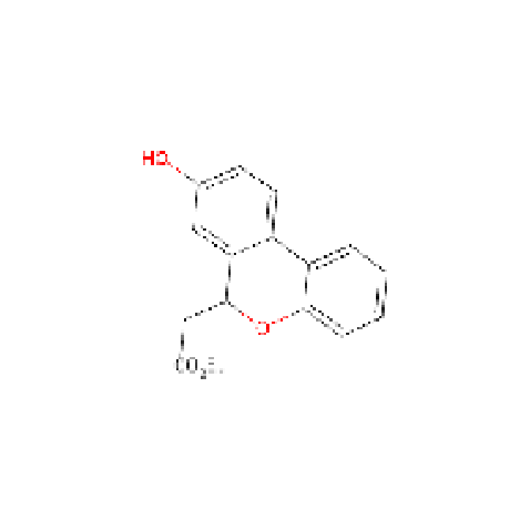 CCOC(=O)CC1Oc2ccccc2-c2ccc(O)cc21